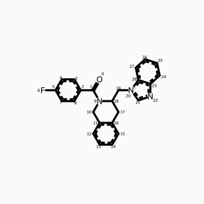 O=C(c1ccc(F)cc1)N1Cc2ccccc2CC1Cn1cnc2ccccc21